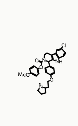 COc1ccc(OC(=O)N2CCc3c([nH]c4ccc(Cl)cc34)C2c2ccc(OCCC3CCCN3C)cc2)cc1